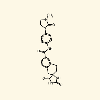 CN1CCN(c2ccc(NC(=O)c3ccc4c(c3)CCC3(C4)NC(=O)NC3=O)cc2)C1=O